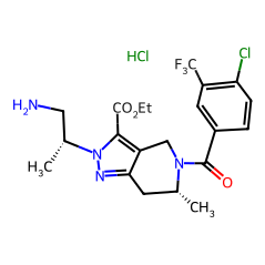 CCOC(=O)c1c2c(nn1[C@H](C)CN)C[C@@H](C)N(C(=O)c1ccc(Cl)c(C(F)(F)F)c1)C2.Cl